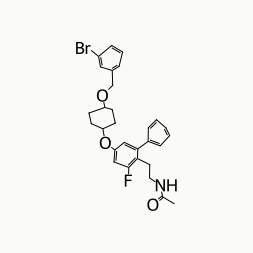 CC(=O)NCCc1c(F)cc(OC2CCC(OCc3cccc(Br)c3)CC2)cc1-c1ccccc1